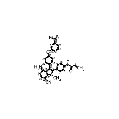 C=CC(=O)Nc1ccc(-c2c(-c3ccc(Oc4nccc(C(F)F)n4)cc3)c3c(N)ncc(C#N)c3n2C)cc1